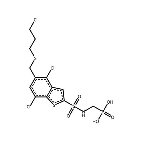 O=P(O)(O)CNS(=O)(=O)c1cc2c(Cl)c(CSCCCCl)cc(Cl)c2s1